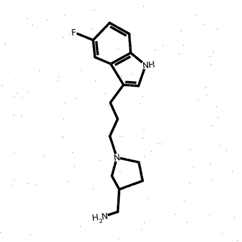 NCC1CCN(CCCc2c[nH]c3ccc(F)cc23)C1